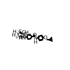 CC(C)(C)S(=O)(=O)NC1CCC(C(=O)Nc2ccc(OCC3CC3)cc2)CC1